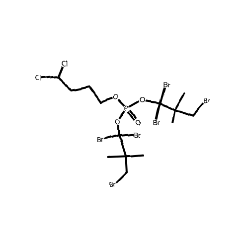 CC(C)(CBr)C(Br)(Br)OP(=O)(OCCCC(Cl)Cl)OC(Br)(Br)C(C)(C)CBr